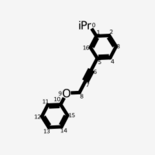 CC(C)c1cccc(C#CCOc2ccccc2)c1